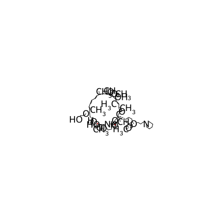 CO[C@@H]1C[C@H](C[C@@H](C)[C@@H]2CC(=O)[C@H](C)/C=C(\C)[C@@H](O)[C@@H](OC)C(=O)[C@H](C)C[C@H](C)/C=C/C=C/C=C(\C)C(OCCO)C[C@@H]3CCC(C)[C@@](O)(O3)C(=O)C(=O)N3CCCC[C@H]3C(=O)O2)CC[C@H]1OCCCN1CCCCC1